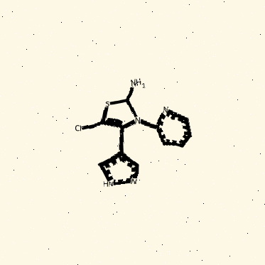 NC1SC(Cl)=C(c2cn[nH]c2)N1c1ccccn1